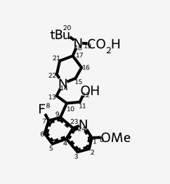 COc1ccc2ccc(F)c(C(CO)CN3CCC(N(C(=O)O)C(C)(C)C)CC3)c2n1